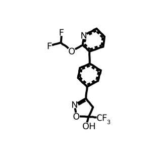 OC1(C(F)(F)F)CC(c2ccc(-c3cccnc3OC(F)F)cc2)=NO1